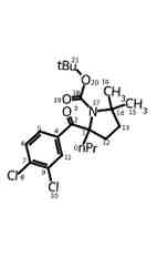 CCCC1(C(=O)c2ccc(Cl)c(Cl)c2)CCC(C)(C)N1C(=O)OC(C)(C)C